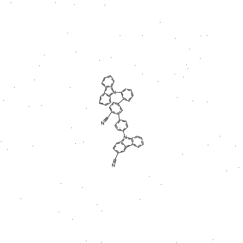 N#Cc1ccc2c(c1)c1ccccc1n2-c1ccc(-c2cc(-c3ccccc3-n3c4ccccc4c4ccccc43)ccc2C#N)cc1